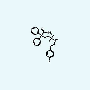 CN(CCc1ccc(F)cc1)C(C)(C)CCC(C(N)=O)(c1ccccc1)c1ccccc1